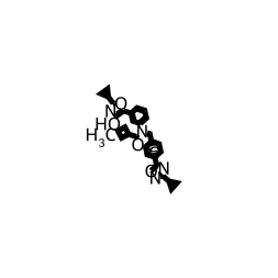 CC1(O)CC(C(=O)N(CC23CCC(c4nc(C5CC5)no4)(CC2)CC3)c2cccc(-c3cnc(C4CC4)o3)c2)C1